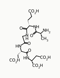 C[C@H](N)C(=O)N[C@@H](CCC(=O)O)C(=O)NCC(=O)N[C@@H](CC(=O)O)C(=O)N[C@@H](CC(=O)O)C(=O)O